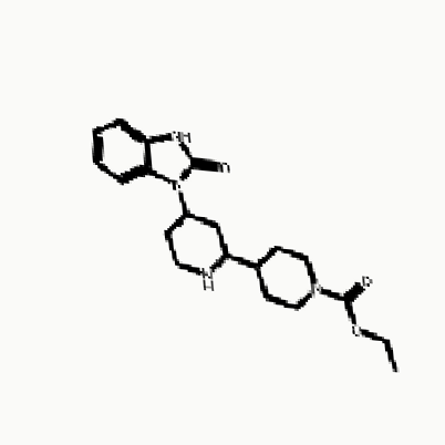 CCOC(=O)N1CCC(C2CC(n3c(=O)[nH]c4ccccc43)CCN2)CC1